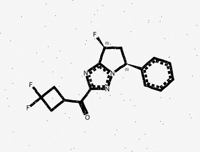 O=C(c1nc2n(n1)[C@H](c1ccccc1)C[C@@H]2F)C1CC(F)(F)C1